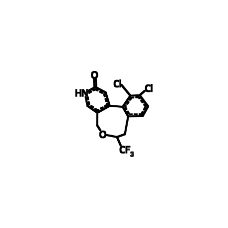 O=c1cc2c(c[nH]1)COC(C(F)(F)F)Cc1ccc(Cl)c(Cl)c1-2